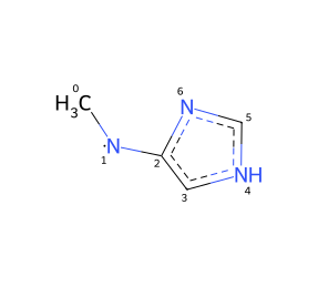 C[N]c1c[nH]cn1